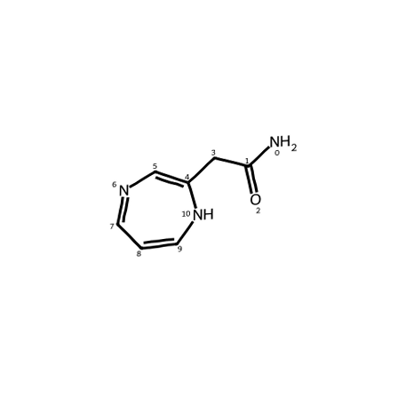 NC(=O)CC1=CN=CC=CN1